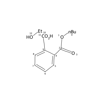 CCCCOC(=O)c1ccccc1C(=O)O.CCO